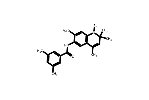 COc1cc2c(cc1NC(=O)c1cc(C)cc(C)c1)C(C)=CC(C)(C)N2C(C)=O